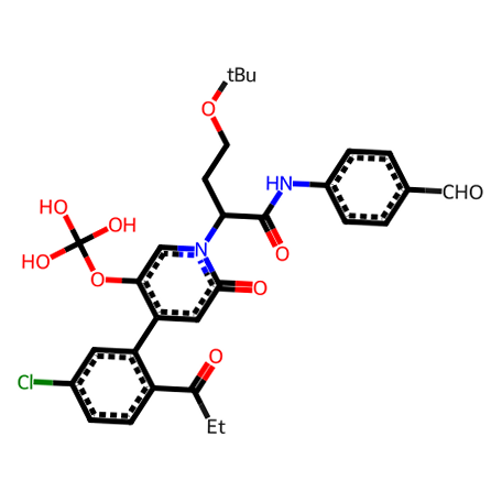 CCC(=O)c1ccc(Cl)cc1-c1cc(=O)n(C(CCOC(C)(C)C)C(=O)Nc2ccc(C=O)cc2)cc1OC(O)(O)O